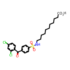 O=C(O)CCCCCCCCCCNS(=O)(=O)c1ccc(C(=O)c2ccc(Cl)cc2Cl)cc1